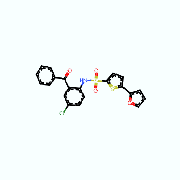 O=C(c1ccccc1)c1cc(Cl)ccc1NS(=O)(=O)c1ccc(-c2ccco2)s1